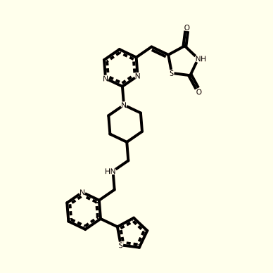 O=C1NC(=O)C(=Cc2ccnc(N3CCC(CNCc4ncccc4-c4cccs4)CC3)n2)S1